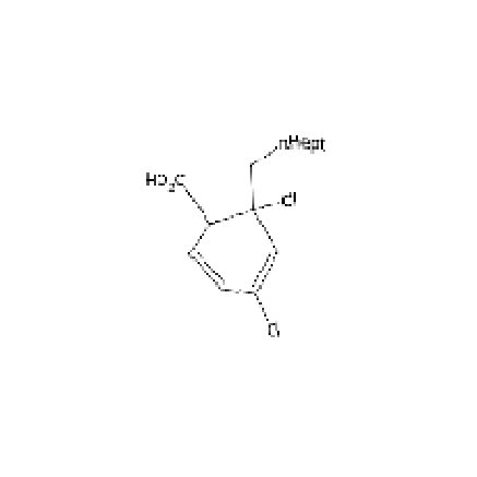 CCCCCCCCC1(Cl)C=C(Cl)C=CC1C(=O)O